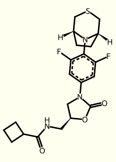 O=C(NC[C@H]1CN(c2cc(F)c(N3[C@@H]4CC[C@H]3CSC4)c(F)c2)C(=O)O1)C1CCC1